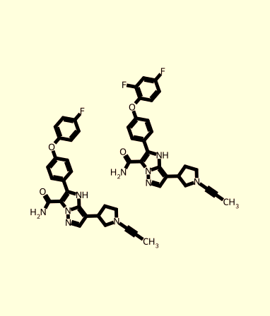 CC#CN1CCC(c2cnn3c(C(N)=O)c(-c4ccc(Oc5ccc(F)cc5)cc4)[nH]c23)C1.CC#CN1CCC(c2cnn3c(C(N)=O)c(-c4ccc(Oc5ccc(F)cc5F)cc4)[nH]c23)C1